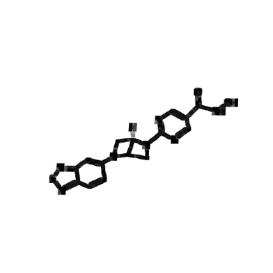 O=C(NO)c1cnc(N2CC3[C@H]2CN3c2ccc3nsnc3c2)nc1